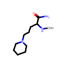 NC(=O)C(CCCN1CCCCC1)NC=O